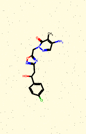 Cc1c(N)cnn(Cc2nc(CC(O)c3ccc(Cl)cc3)no2)c1=O